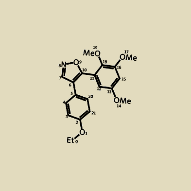 CCOc1ccc(-c2cnoc2-c2cc(OC)cc(OC)c2OC)cc1